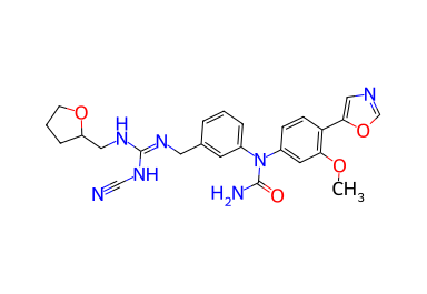 COc1cc(N(C(N)=O)c2cccc(CN=C(NC#N)NCC3CCCO3)c2)ccc1-c1cnco1